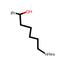 CCCCCCCCCCCC(O)C(C)C